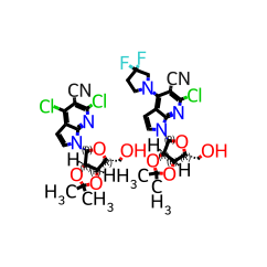 CC1(C)O[C@@H]2[C@H](O1)[C@@H](CO)O[C@H]2n1ccc2c(Cl)c(C#N)c(Cl)nc21.CC1(C)O[C@@H]2[C@H](O1)[C@@H](CO)O[C@H]2n1ccc2c(N3CCC(F)(F)C3)c(C#N)c(Cl)nc21